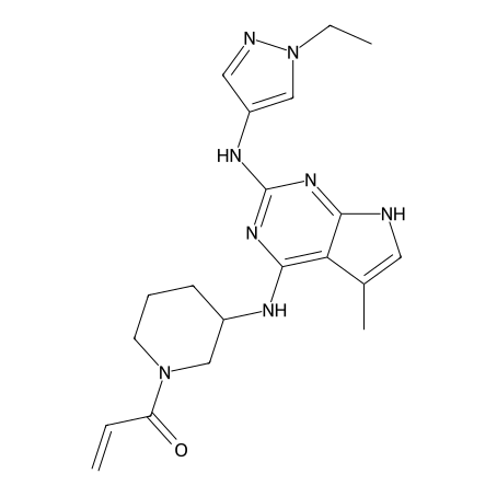 C=CC(=O)N1CCCC(Nc2nc(Nc3cnn(CC)c3)nc3[nH]cc(C)c23)C1